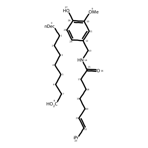 CCCCCCCCCCCCCCCCCC(=O)O.COc1cc(CNC(=O)CCCCC=CC(C)C)ccc1O